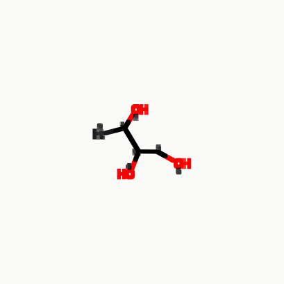 CCC(O)[C](O)CO